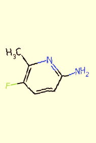 Cc1nc(N)ccc1F